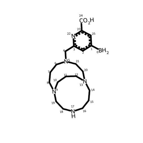 Bc1cc(CN2CCCN3CCCN(CCCNCC3)CC2)nc(C(=O)O)c1